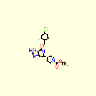 CC(C)(C)OC(=O)N1CC=C(c2cc3nc[nH]c3c(OCc3ccc(Cl)cc3F)n2)CC1